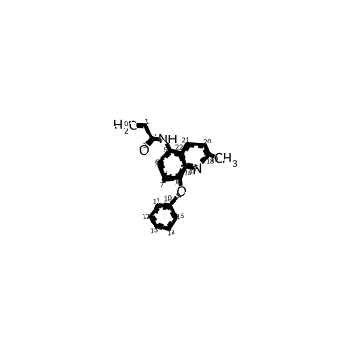 C=CC(=O)Nc1ccc(Oc2ccccc2)c2nc(C)ccc12